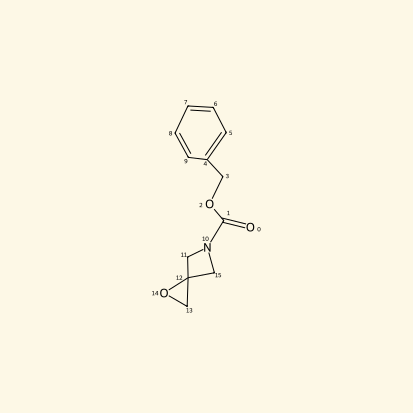 O=C(OCc1ccccc1)N1CC2(CO2)C1